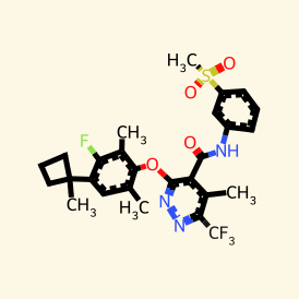 Cc1cc(C2(C)CCC2)c(F)c(C)c1Oc1nnc(C(F)(F)F)c(C)c1C(=O)Nc1cccc(S(C)(=O)=O)c1